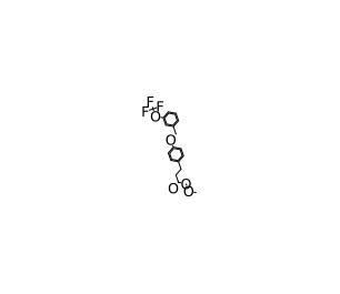 COOC(=O)CCc1ccc(OCc2cccc(OC(F)(F)F)c2)cc1